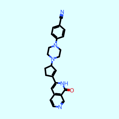 N#Cc1ccc(N2CCN(C3C=C(c4cc5ccncc5c(=O)[nH]4)CC3)CC2)cc1